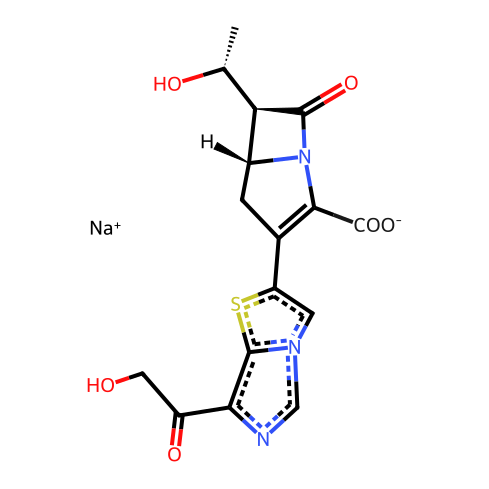 C[C@@H](O)[C@H]1C(=O)N2C(C(=O)[O-])=C(c3cn4cnc(C(=O)CO)c4s3)C[C@H]12.[Na+]